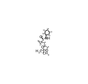 CC1(C)OCC(CC2([S+]([O-])Nc3ccccc3)CC2)O1